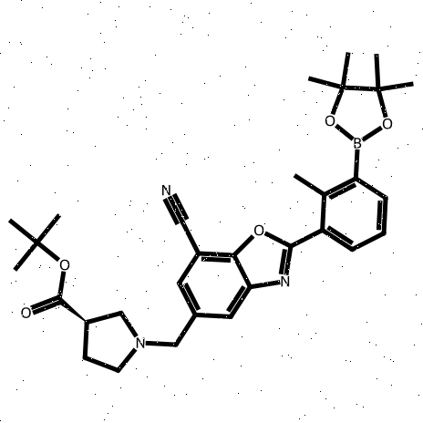 Cc1c(B2OC(C)(C)C(C)(C)O2)cccc1-c1nc2cc(CN3CC[C@@H](C(=O)OC(C)(C)C)C3)cc(C#N)c2o1